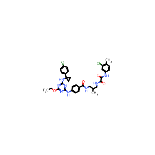 Cc1ccc(NC(=O)C(=O)NCC(C)CNC(=O)c2ccc(Nc3nc(NC4(c5ccc(Cl)cc5)CC4)nc(OCC(F)(F)F)n3)cc2)cc1Cl